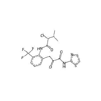 CC(C)C(Cl)C(=O)Nc1c(CC(=O)C(=O)Nc2nccs2)cccc1C(F)(F)F